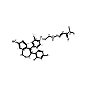 Cc1cc(F)ccc1C1=C(c2ccc(OCCNC/C=C/C(=O)N(C)C)c(Cl)c2)c2ccc(O)cc2CCC1